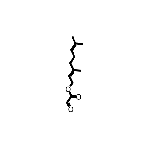 CC(C)=CCC/C(C)=C/COC(=O)C=O